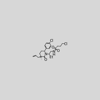 C=CC[C@@]1(C)CCC(c2ccc(Cl)cc2)N(C(CC)CNS(=O)(=O)CCCCl)C1=O